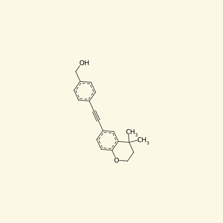 CC1(C)CCOc2ccc(C#Cc3ccc(CO)cc3)cc21